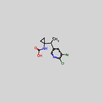 CC(c1cnc(Cl)c(Br)c1)C1(NC(=O)O)CC1